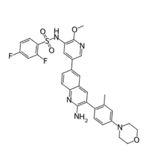 COc1ncc(-c2ccc3nc(N)c(-c4ccc(N5CCOCC5)cc4C)cc3c2)cc1NS(=O)(=O)c1ccc(F)cc1F